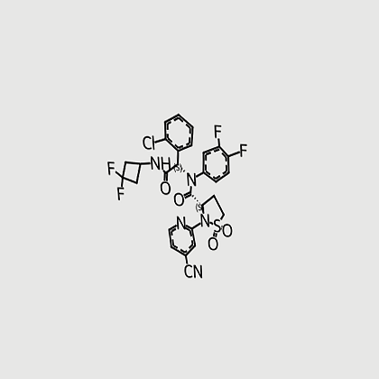 N#Cc1ccnc(N2[C@H](C(=O)N(c3ccc(F)c(F)c3)[C@H](C(=O)NC3CC(F)(F)C3)c3ccccc3Cl)CCS2(=O)=O)c1